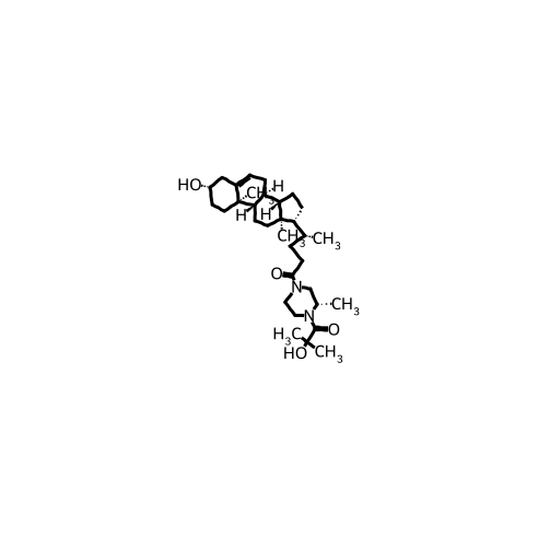 C[C@H](CCC(=O)N1CCN(C(=O)C(C)(C)O)[C@@H](C)C1)[C@H]1CC[C@H]2[C@@H]3CC=C4C[C@@H](O)CC[C@]4(C)[C@H]3CC[C@]12C